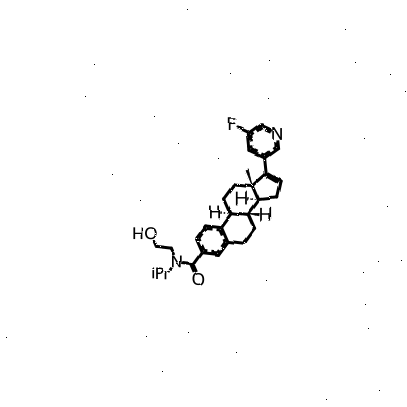 CC(C)N(CCO)C(=O)c1ccc2c(c1)CC[C@@H]1[C@@H]2CC[C@]2(C)C(c3cncc(F)c3)=CC[C@@H]12